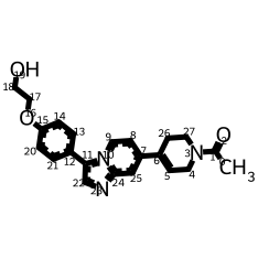 CC(=O)N1CC=C(c2ccn3c(-c4ccc(OCCO)cc4)cnc3c2)CC1